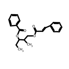 CCC(OC(=O)c1ccccc1)C(C)COC(=O)/C=C/c1ccccc1